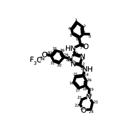 Cc1ccccc1C(=O)Nc1nc(Nc2cccc(CN3CCOCC3)c2)nn1-c1ccc(OC(F)(F)F)cc1